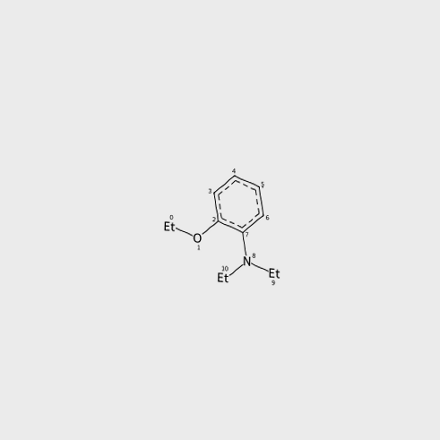 CCOc1cc[c]cc1N(CC)CC